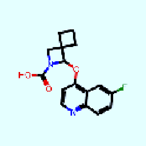 O=C(O)N1CC2(CCC2)C1Oc1ccnc2ccc(F)cc12